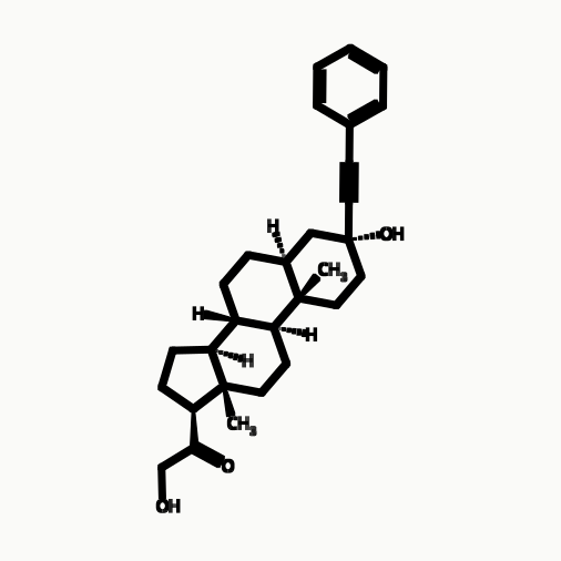 C[C@]12CC[C@](O)(C#Cc3ccccc3)C[C@@H]1CC[C@@H]1[C@@H]2CC[C@]2(C)[C@@H](C(=O)CO)CC[C@@H]12